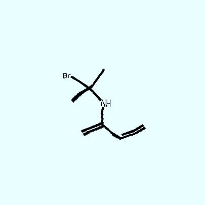 C=CC(=C)NC(C)(C)Br